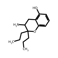 CCCC1(CCC)Oc2cccc(O)c2CC1N